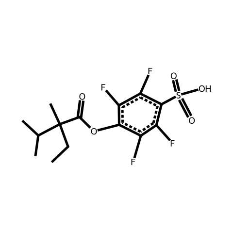 CCC(C)(C(=O)Oc1c(F)c(F)c(S(=O)(=O)O)c(F)c1F)C(C)C